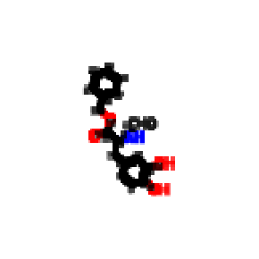 O=CN[C@@H](Cc1ccc(O)c(O)c1)C(=O)OCc1ccccc1